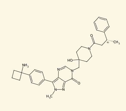 C[C@H](CC(=O)N1CCC(O)(Cn2cnc3c(-c4ccc(C5(N)CCC5)cc4)n(C)nc3c2=O)CC1)c1ccccc1